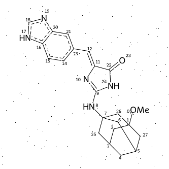 COC12CC3CC(CC(NC4=N/C(=C\c5ccc6[nH]cnc6c5)C(=O)N4)(C3)C1)C2